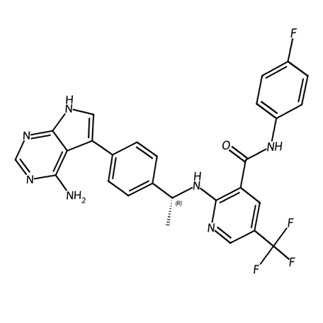 C[C@@H](Nc1ncc(C(F)(F)F)cc1C(=O)Nc1ccc(F)cc1)c1ccc(-c2c[nH]c3ncnc(N)c23)cc1